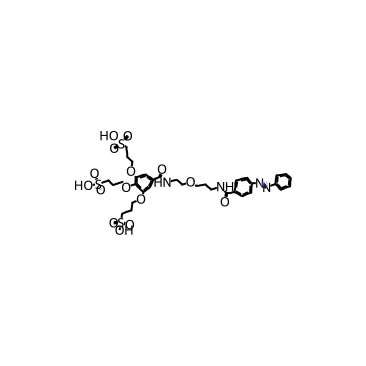 O=C(NCCCOCCNC(=O)c1cc(OCCCS(=O)(=O)O)c(OCCCS(=O)(=O)O)c(OCCCS(=O)(=O)O)c1)c1ccc(/N=N/c2ccccc2)cc1